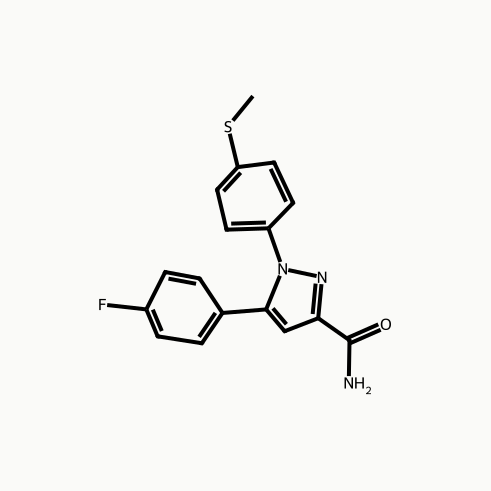 CSc1ccc(-n2nc(C(N)=O)cc2-c2ccc(F)cc2)cc1